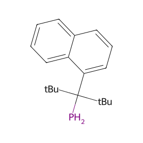 CC(C)(C)C(P)(c1cccc2ccccc12)C(C)(C)C